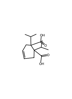 CC(C)C1(C(=O)O)CC=CCC1(C(=O)O)C(C)C